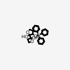 OC1(C2(O)OCCC2O[Si](c2ccccc2)(c2ccccc2)c2ccccc2)CCO1